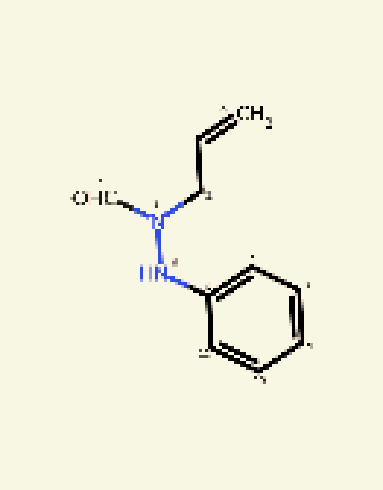 C=CCN([C]=O)Nc1ccccc1